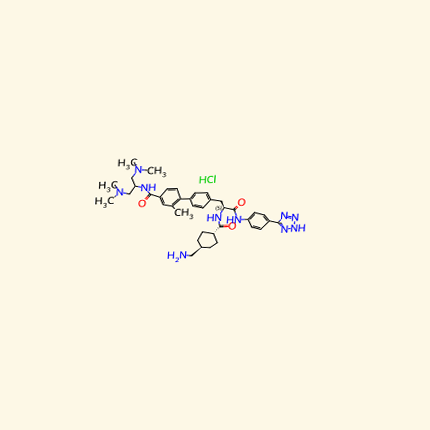 Cc1cc(C(=O)NC(CN(C)C)CN(C)C)ccc1-c1ccc(C[C@H](NC(=O)[C@H]2CC[C@H](CN)CC2)C(=O)Nc2ccc(-c3nn[nH]n3)cc2)cc1.Cl